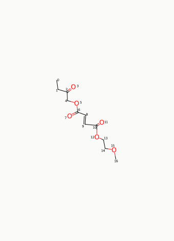 CCC(=O)COC(=O)/C=C/C(=O)OCCOC